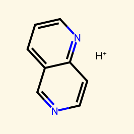 [H+].c1cnc2ccncc2c1